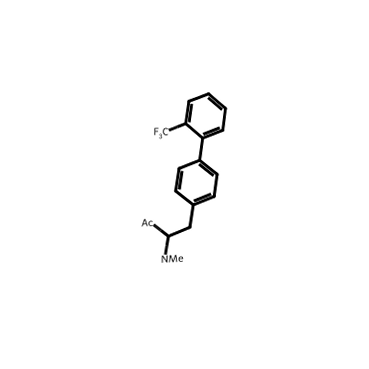 CNC(Cc1ccc(-c2ccccc2C(F)(F)F)cc1)C(C)=O